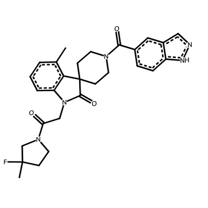 Cc1cccc2c1C1(CCN(C(=O)c3ccc4[nH]ncc4c3)CC1)C(=O)N2CC(=O)N1CCC(C)(F)C1